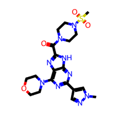 Cn1cc(-c2nc(N3CCOCC3)c3nc(C(=O)N4CCN(S(C)(=O)=O)CC4)[nH]c3n2)cn1